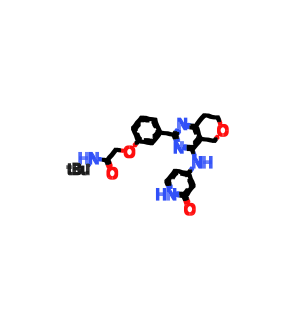 CC(C)(C)NC(=O)COc1cccc(-c2nc3c(c(Nc4cc[nH]c(=O)c4)n2)COCC3)c1